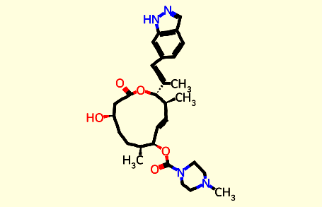 C/C(=C\c1ccc2cn[nH]c2c1)[C@H]1OC(=O)C[C@H](O)CC[C@H](C)[C@H](OC(=O)N2CCN(C)CC2)/C=C/[C@@H]1C